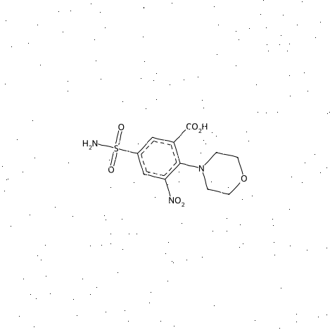 NS(=O)(=O)c1cc(C(=O)O)c(N2CCOCC2)c([N+](=O)[O-])c1